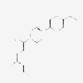 CCC(C)CCC(C)C1CC=C(C2CCC(C(F)F)CC2)CC1